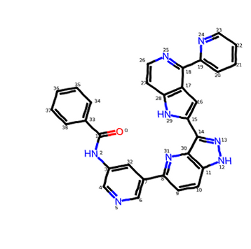 O=C(Nc1cncc(-c2ccc3[nH]nc(-c4cc5c(-c6ccccn6)nccc5[nH]4)c3n2)c1)c1ccccc1